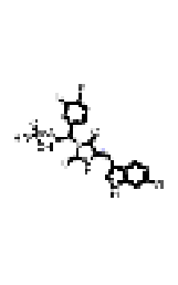 O=C1N/C(=C\c2c[nH]c3cc(Cl)ccc23)C(=O)N1C(COP(=O)(O)O)c1ccc(F)c(F)c1